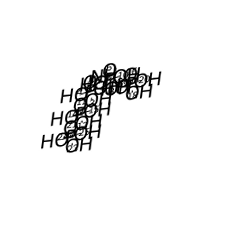 N.O=P(O)(O)O.O=P(O)(O)O.O=P(O)(O)O.O=P(O)(O)O.O=P(O)(O)O